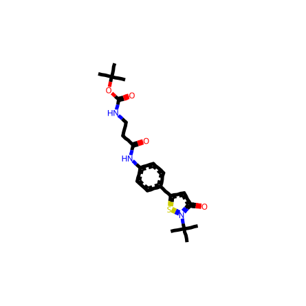 CC(C)(C)OC(=O)NCCC(=O)Nc1ccc(-c2cc(=O)n(C(C)(C)C)s2)cc1